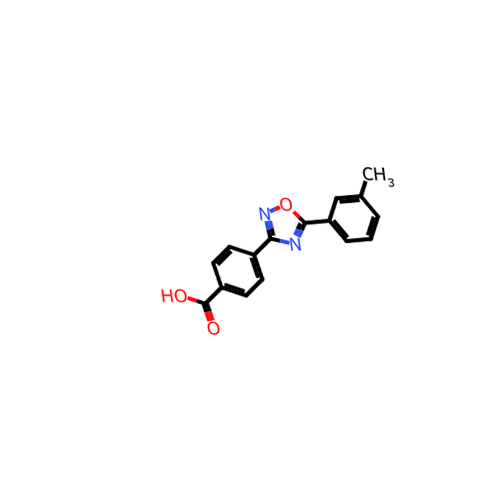 Cc1cccc(-c2nc(-c3ccc(C(=O)O)cc3)no2)c1